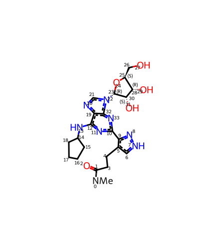 CNC(=O)CCc1c[nH]nc1-c1nc(NC2CCCC2)c2ncn([C@@H]3O[C@@H](CO)[C@H](O)[C@@H]3O)c2n1